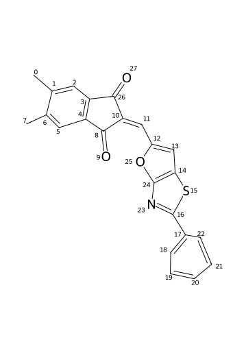 Cc1cc2c(cc1C)C(=O)C(=Cc1cc3sc(-c4ccccc4)nc3o1)C2=O